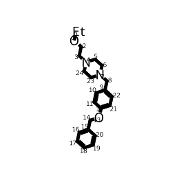 CCOCCN1CCN(Cc2ccc(OCc3ccccc3)cc2)CC1